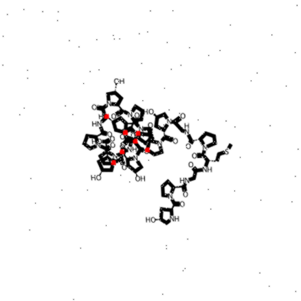 CSCC[C@H](NC(=O)CNC(=O)[C@@H]1CCCN1C(=O)[C@@H]1C[C@@H](O)CN1)C(=O)N1CCC[C@H]1C(=O)NCC(=O)N1C[C@H](O)C[C@H]1C(=O)N1CCC[C@H]1C(=O)NCC(=O)N1C[C@H](O)C[C@H]1C(=O)N1CCC[C@H]1C(=O)NCC(=O)N1C[C@H](O)C[C@H]1C(=O)N1CCC[C@H]1C(=O)NCC(=O)N1C[C@H](O)C[C@H]1C(=O)N1CCC[C@H]1C(=O)NCC(=O)N1C[C@H](O)C[C@H]1C(=O)N1CCC[C@H]1C(=O)O